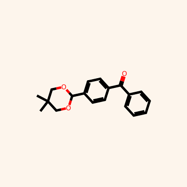 CC1(C)COC(c2ccc(C(=O)c3ccccc3)cc2)OC1